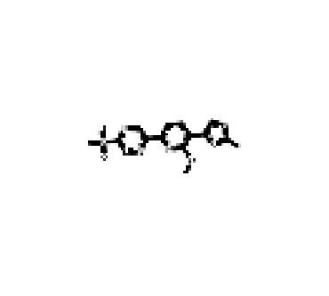 COc1nc(-c2cnc(S(C)(=O)=O)nn2)ccc1-c1cnc(C)s1